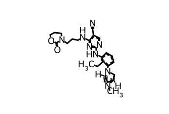 CCc1c(Nc2ncc(C#N)c(NCCCN3CCCOC3=O)n2)cccc1N1C[C@H]2C[C@@H]1CN2C